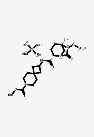 CC(C)(C)OC(=O)N1CCC2(CC1)CC(NC(=O)[C@@H]1CC[C@@H]3CN1C(=O)N3OS(=O)(=O)O)C2.CCCC[N+](CCCC)(CCCC)CCCC